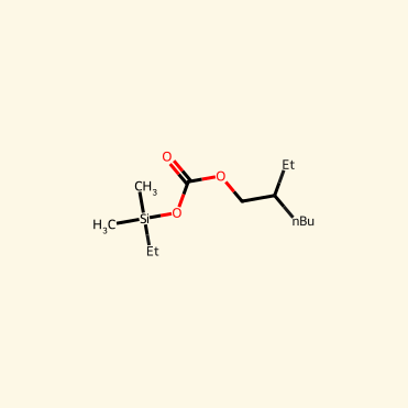 CCCCC(CC)COC(=O)O[Si](C)(C)CC